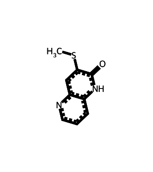 CSc1cc2ncccc2[nH]c1=O